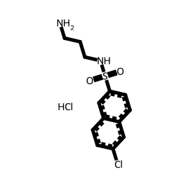 Cl.NCCCNS(=O)(=O)c1ccc2cc(Cl)ccc2c1